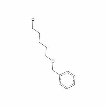 [O]CCCCCOCc1ccccc1